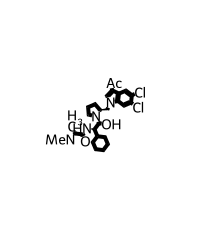 CN[C@@H](C)C(=O)N[C@@H](C1CCCCC1)C(O)N1CCC[C@H]1Cn1cc(C(C)=O)c2cc(Cl)c(Cl)cc21